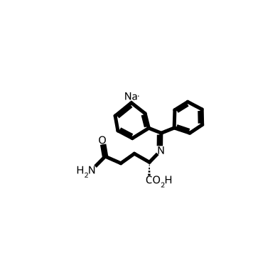 NC(=O)CC[C@H](N=C(c1ccccc1)c1ccccc1)C(=O)O.[Na]